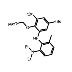 CCN(CC)c1cccc(C)c1Pc1cc(C(C)(C)C)cc(C(C)(C)C)c1OCOC